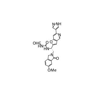 COc1ccc2c(c1)C(=O)N(C[C@H](NC(=O)NC=O)c1cc3cnc(-c4cn[nH]c4)cc3o1)C2